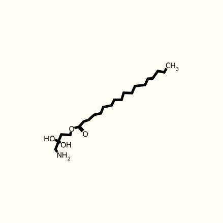 CCCCCCCCCCCCCCCCCC(=O)OCCC(O)(O)CN